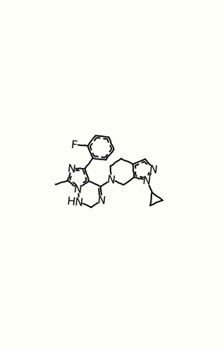 Cc1nc(-c2ccccc2F)c2n1NCN=C2N1CCc2cnn(C3CC3)c2C1